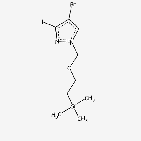 C[Si](C)(C)CCOCn1cc(Br)c(I)n1